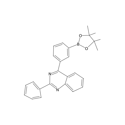 CC1(C)OB(c2cccc(-c3nc(-c4ccccc4)nc4ccccc34)c2)OC1(C)C